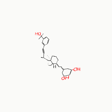 C[C@@H](C#Cc1cccc(C(C)(C)O)c1)[C@H]1CC[C@H]2/C(=C/C=C3C[C@@H](O)C[C@H](O)C3)CCC[C@]12C